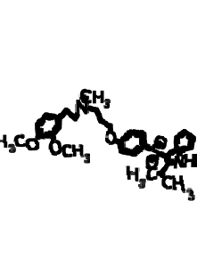 COc1ccc(CCN(C)CCCOc2ccc(S(=O)(=O)c3c(C(C)C)[nH]c4ccccc34)cc2)cc1OC